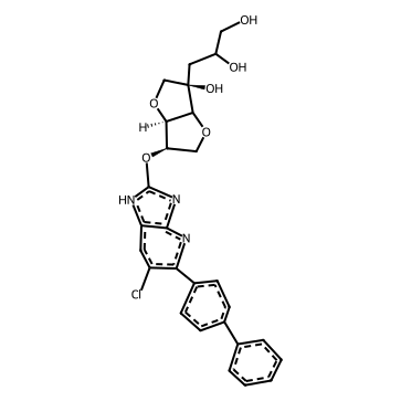 OCC(O)C[C@@]1(O)CO[C@H]2C1OC[C@H]2Oc1nc2nc(-c3ccc(-c4ccccc4)cc3)c(Cl)cc2[nH]1